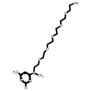 Cc1cc(N(C)CCOCCOCCOCCOCCOCCO)nc(Cl)n1